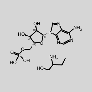 CCC(N)CO.Nc1ncnc2c1ncn2[C@@H]1O[C@H](COP(=O)(O)O)[C@@H](O)[C@H]1O